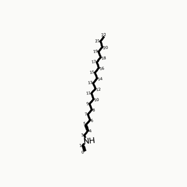 C=CNCC=CCCCCCCCCCCCCCCCCC